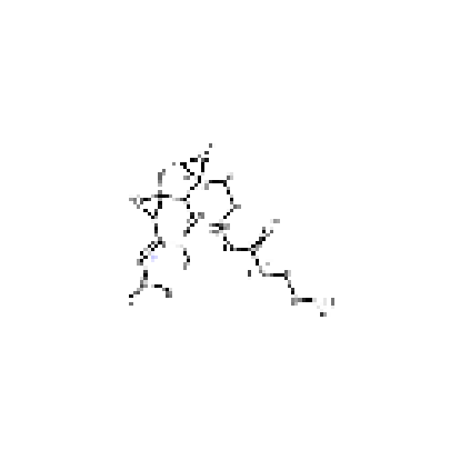 CO[C@H]1C(C2(C)OC2/C=C/C(C)C)[C@]2(CC[C@H]1OC(=O)NCCO)CO2